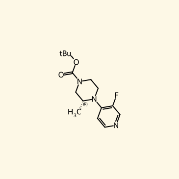 C[C@@H]1CN(C(=O)OC(C)(C)C)CCN1c1ccncc1F